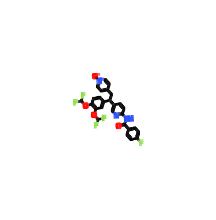 O=C(Nc1ccc(C(Cc2cc[n+]([O-])cc2)c2ccc(OC(F)F)c(OC(F)F)c2)cn1)c1ccc(F)cc1